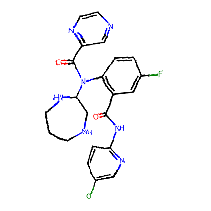 O=C(Nc1ccc(Cl)cn1)c1cc(F)ccc1N(C(=O)c1cnccn1)C1CNCCCN1